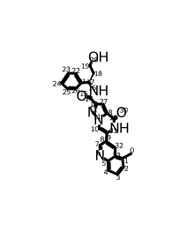 Cc1cccc2ncc(-c3cn4nc(C(=O)N[C@H](CCO)c5ccccc5)cc4c(=O)[nH]3)cc12